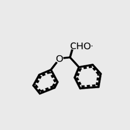 O=[C]C(Oc1ccccc1)c1ccccc1